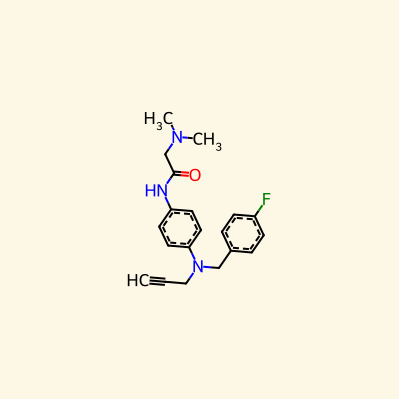 C#CCN(Cc1ccc(F)cc1)c1ccc(NC(=O)CN(C)C)cc1